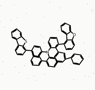 c1ccc(-c2cccc(-c3c(-c4cccc5oc6ccccc6c45)cccc3N(c3ccc(-c4cccc5c4sc4ccccc45)cc3)c3ccccc3-c3ccccc3)c2)cc1